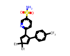 CCC1(CC)C=C(c2ccc(C(F)(F)F)cc2)C(c2ccc(S(N)(=O)=O)cn2)=C1